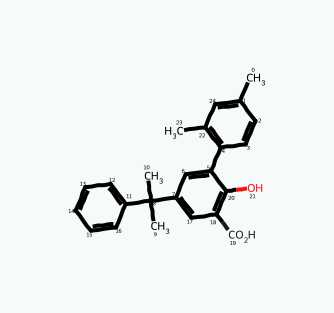 Cc1ccc(-c2cc(C(C)(C)c3ccccc3)cc(C(=O)O)c2O)c(C)c1